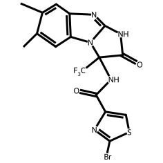 Cc1cc2nc3n(c2cc1C)C(NC(=O)c1csc(Br)n1)(C(F)(F)F)C(=O)N3